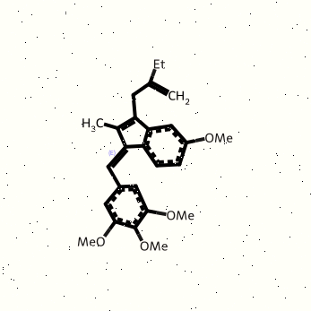 C=C(CC)CC1=C(C)/C(=C/c2cc(OC)c(OC)c(OC)c2)c2ccc(OC)cc21